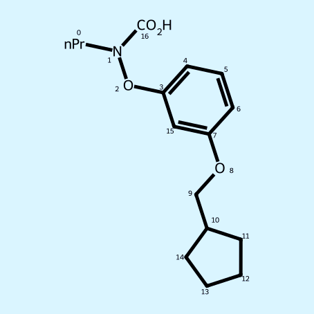 CCCN(Oc1cccc(OCC2CCCC2)c1)C(=O)O